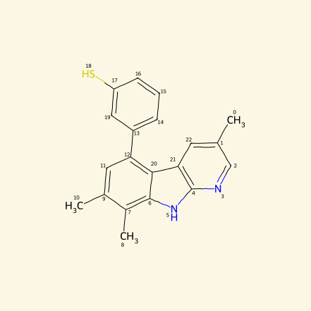 Cc1cnc2[nH]c3c(C)c(C)cc(-c4cccc(S)c4)c3c2c1